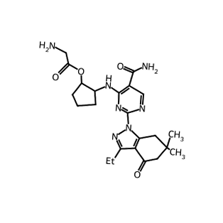 CCc1nn(-c2ncc(C(N)=O)c(NC3CCCC3OC(=O)CN)n2)c2c1C(=O)CC(C)(C)C2